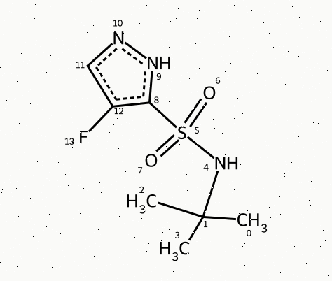 CC(C)(C)NS(=O)(=O)c1[nH]ncc1F